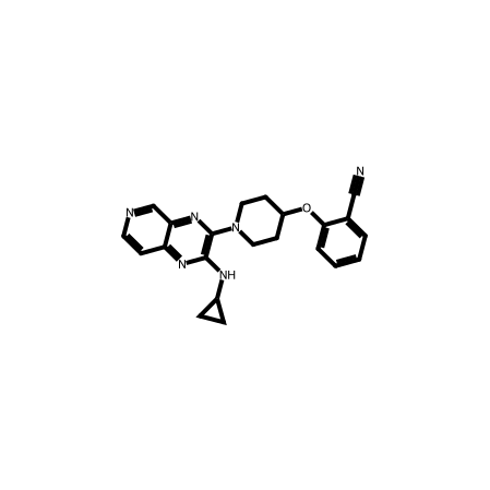 N#Cc1ccccc1OC1CCN(c2nc3cnccc3nc2NC2CC2)CC1